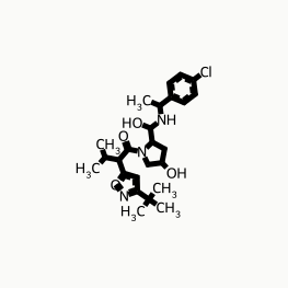 CC(NC(O)C1CC(O)CN1C(=O)C(c1cc(C(C)(C)C)no1)C(C)C)c1ccc(Cl)cc1